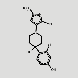 CC(C)n1nc(C(=O)O)cc1N1CCC(O)(c2ccc(O)cc2Cl)CC1